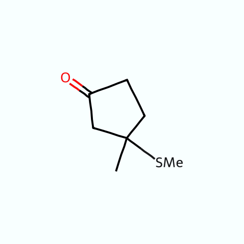 CSC1(C)CCC(=O)C1